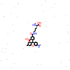 C=c1ccc2c(c1)Oc1cc(N(C)C)ccc1C=2c1ccc(C(=O)NCCCC[C@H](NC)C(=O)O)cc1C(=O)O